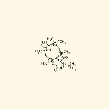 C=Cc1c(C)c2cc3nc(c(CC(=O)NCCN(C)C)c4[nH]c(cc5nc(cc1[nH]2)C(C)=C5CC)c(C)c4C(=O)O)[C@@H](CCC(=O)O)[C@@H]3C